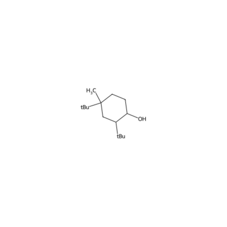 CC(C)(C)C1CC(C)(C(C)(C)C)CCC1O